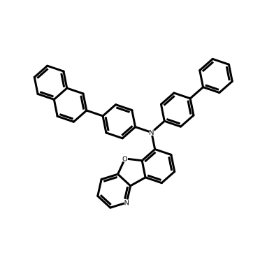 c1ccc(-c2ccc(N(c3ccc(-c4ccc5ccccc5c4)cc3)c3cccc4c3oc3cccnc34)cc2)cc1